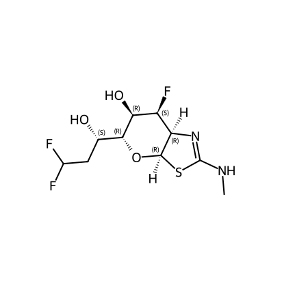 CNC1=N[C@@H]2[C@H](F)[C@H](O)[C@@H]([C@@H](O)CC(F)F)O[C@@H]2S1